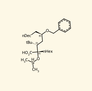 CCCCCCCCCCC[C@H](C[C@@H](C(C)(C)C)[C@](CCCCCC)(O[SiH](C)C)C(=O)O)OCc1ccccc1